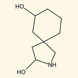 OC1CCCC2(CNC(O)C2)C1